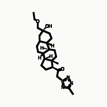 CCOC[C@@]1(O)CC[C@H]2C(CC[C@@H]3[C@@H]2CC[C@]2(C)[C@@H](C(=O)Cn4nnc(C)n4)CC[C@@H]32)C1